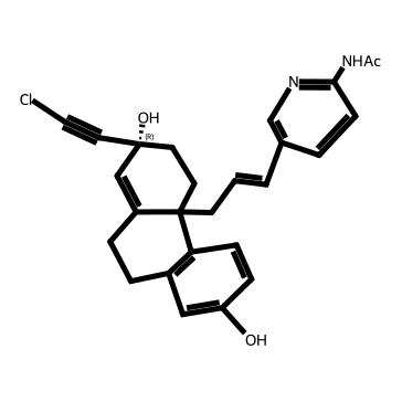 CC(=O)Nc1ccc(C=CCC23CC[C@](O)(C#CCl)C=C2CCc2cc(O)ccc23)cn1